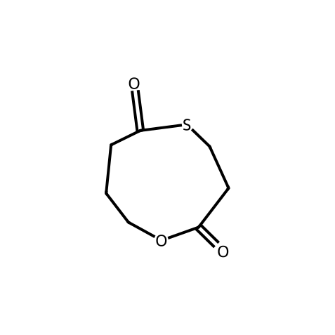 O=C1CCSC(=O)CCCO1